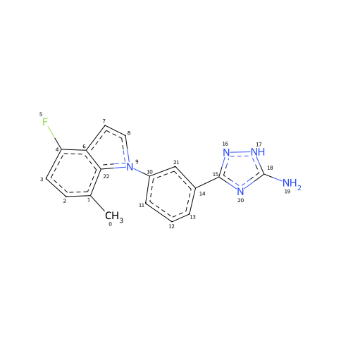 Cc1ccc(F)c2ccn(-c3cccc(-c4n[nH]c(N)n4)c3)c12